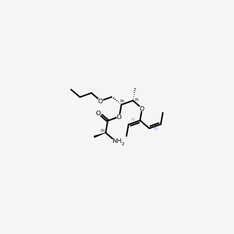 C/C=C\C(=C/C)O[C@@H](C)[C@@H](COCCC)OC(=O)[C@H](C)N